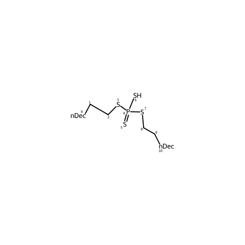 CCCCCCCCCCCCSP(=S)(S)SCCCCCCCCCCCC